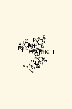 CCCC(CCC)N1CCc2c(C(=O)N[C@@H](Cc3cc(F)cc(F)c3)[C@@H](O)CNC3(c4cccc(C(F)(F)F)c4)CC3)cc(F)cc2C1=O.Cl